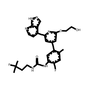 Cc1cc(F)c(NC(=O)NCCC(C)(C)F)cc1-c1cc(OCCO)nc(-c2ccnc3[nH]ncc23)c1